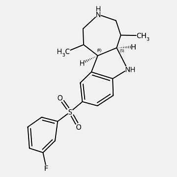 CC1CNCC(C)[C@@H]2c3cc(S(=O)(=O)c4cccc(F)c4)ccc3N[C@H]12